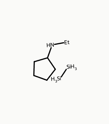 CCNC1CCCC1.[SiH3][SiH3]